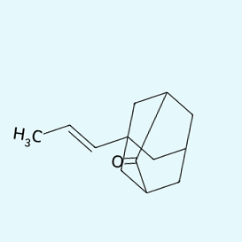 CC=CC12CC3CC(C1)C(=O)C(C3)C2